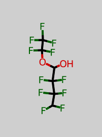 OC(OC(F)(F)C(F)(F)F)C(F)(F)C(F)(F)C(F)F